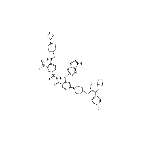 O=C(N[S+]([O-])c1ccc(NCC2CCN(C3COC3)CC2)c([N+](=O)[O-])c1)c1ccc(N2CCN(CC3=C(c4ccc(Cl)cc4)CC4(CCC4)CC3)CC2)cc1Oc1cnc2[nH]ccc2c1